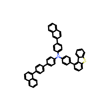 c1ccc2cc(-c3ccc(N(c4ccc(-c5ccc(-c6cccc7ccccc67)cc5)cc4)c4ccc(-c5cccc6sc7ccccc7c56)cc4)cc3)ccc2c1